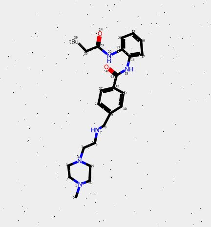 CN1CCN(CCNCc2ccc(C(=O)Nc3ccccc3NC(=O)CC(C)(C)C)cc2)CC1